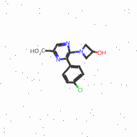 O=C(O)c1cnc(N2CC(O)C2)c(-c2ccc(Cl)cc2)n1